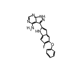 Nc1ncnc2[nH]nc(-c3cc4cc(Oc5ccccc5)c(F)cc4[nH]3)c12